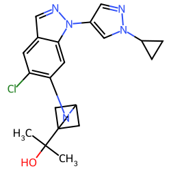 CC(C)(O)C12CC(C1)N(c1cc3c(cnn3-c3cnn(C4CC4)c3)cc1Cl)C2